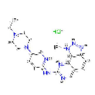 CC(C)CN1CCN(c2ccc(Nc3ncc4ccc5nnn(C(C)C)c5c4n3)nc2)CC1.Cl